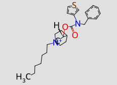 CCCCCCC[N+]12CCC(CC1)[C@@H](OC(=O)N(Cc1ccccc1)c1ccsc1)C2